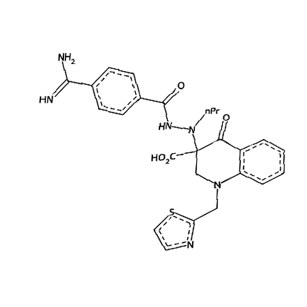 CCCN(NC(=O)c1ccc(C(=N)N)cc1)C1(C(=O)O)CN(Cc2nccs2)c2ccccc2C1=O